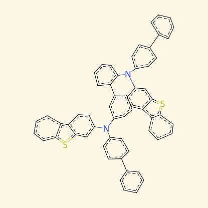 c1ccc(-c2ccc(N(c3cccc(-c4ccccc4N(c4ccc(-c5ccccc5)cc4)c4ccc5c(c4)sc4ccccc45)c3)c3ccc4c(c3)sc3ccccc34)cc2)cc1